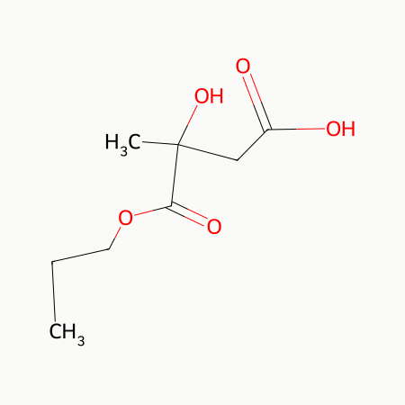 CCCOC(=O)C(C)(O)CC(=O)O